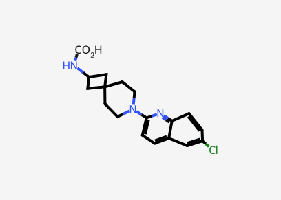 O=C(O)NC1CC2(CCN(c3ccc4cc(Cl)ccc4n3)CC2)C1